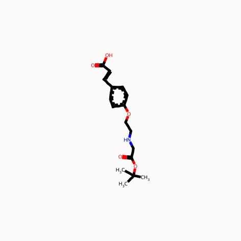 CC(C)(C)OC(=O)CNCCOc1ccc(/C=C/C(=O)O)cc1